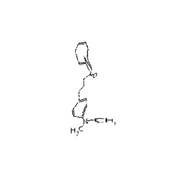 CN(C)c1ccc(CCCC(=O)N2CC=CCC2)cc1